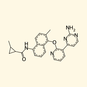 Cc1ccc2c(NC(=O)C3CC3C)cccc2c1Oc1ncccc1-c1ccnc(N)n1